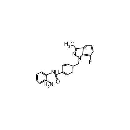 Cc1nn(Cc2ccc(C(=O)Nc3ccccc3N)cc2)c2c(F)cccc12